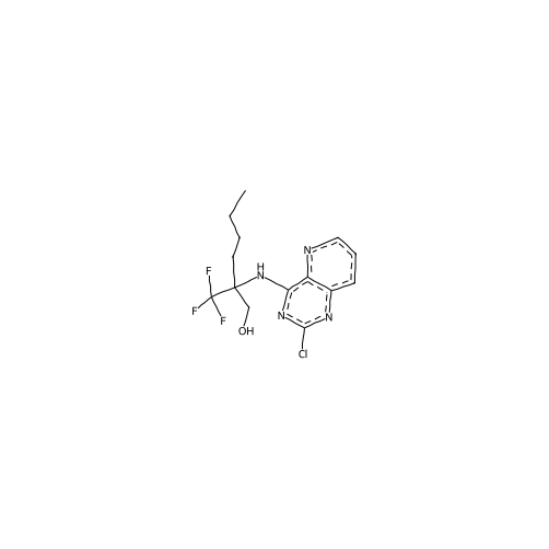 CCCCC(CO)(Nc1nc(Cl)nc2cccnc12)C(F)(F)F